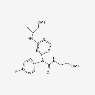 COCCNC(=O)N(c1ccc(F)cc1)c1ccnc(NC(C)COC)n1